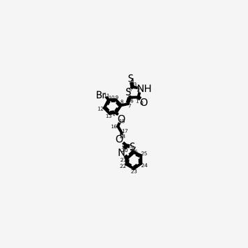 O=C1NC(=S)SC1=Cc1cc(Br)ccc1OCCOc1nc2ccccc2s1